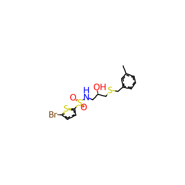 Cc1cccc(CSC[C@H](O)CNS(=O)(=O)c2ccc(Br)s2)c1